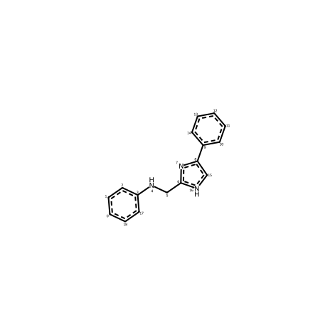 c1ccc(NCc2nc(-c3ccccc3)c[nH]2)cc1